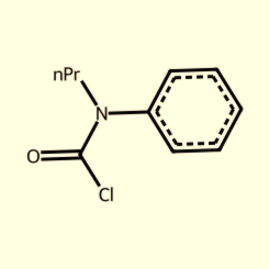 CCCN(C(=O)Cl)c1ccccc1